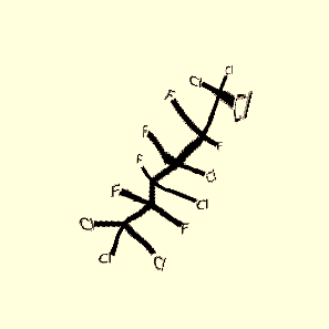 FC(F)(C(Cl)(Cl)Cl)C(F)(Cl)C(F)(Cl)C(F)(F)C(Cl)(Cl)Cl